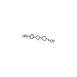 CCCCc1ccc(C2CCC(C3CCC(C=CC#N)CC3)CC2)cc1